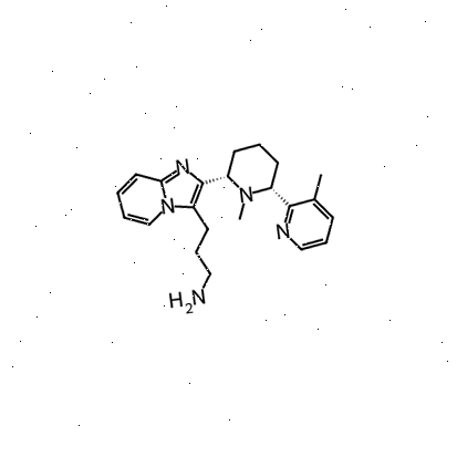 Cc1cccnc1[C@H]1CCC[C@@H](c2nc3ccccn3c2CCCN)N1C